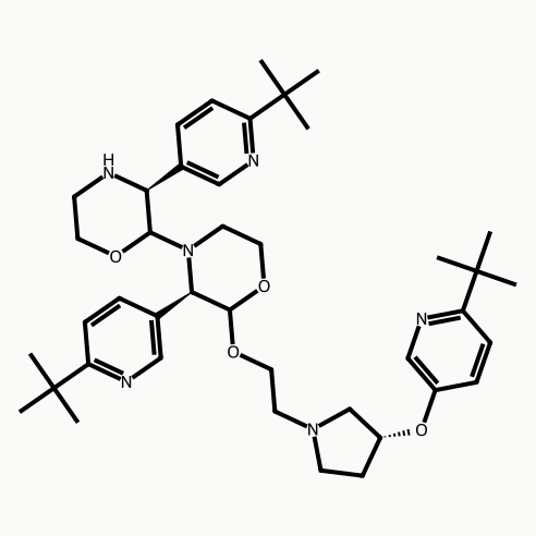 CC(C)(C)c1ccc(O[C@@H]2CCN(CCOC3OCCN(C4OCCN[C@H]4c4ccc(C(C)(C)C)nc4)[C@@H]3c3ccc(C(C)(C)C)nc3)C2)cn1